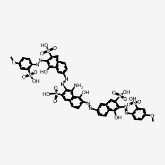 COc1ccc(N=Nc2c(S(=O)(=O)O)cc3cc(N=Nc4ccc5cc(S(=O)(=O)O)c(N=Nc6ccc7cc(S(=O)(=O)O)c(N=Nc8ccc(OC)cc8S(=O)(=O)O)c(O)c7c6)c(N)c5c4O)ccc3c2O)c(S(=O)(=O)O)c1